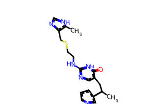 Cc1[nH]cnc1CSCCNc1ncc(CC(C)c2cccnc2)c(=O)[nH]1